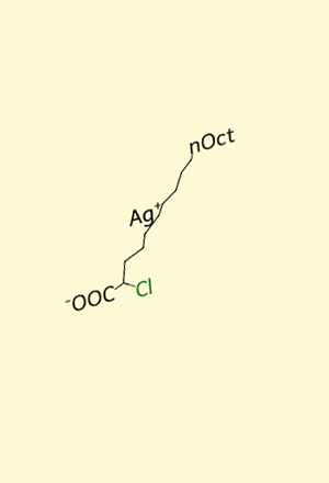 CCCCCCCCCCCCCCCCC(Cl)C(=O)[O-].[Ag+]